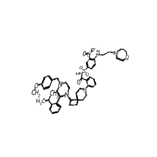 COc1ccc(CN2CCN(C3CCC34CCN(c3ccccc3C(=O)NS(=O)(=O)c3ccc(NCCN5CCOCC5)c([N+](=O)[O-])c3)CC4)C(c3ccccc3C(C)C)C2)cc1